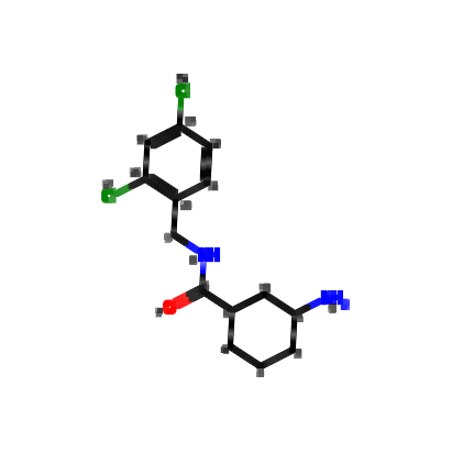 NC1CCCC(C(=O)NCc2ccc(Cl)cc2Cl)C1